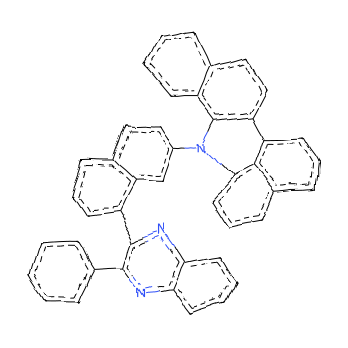 c1ccc(-c2nc3ccccc3nc2-c2cccc3ccc(N4c5c(ccc6ccccc56)-c5cccc6cccc4c56)cc23)cc1